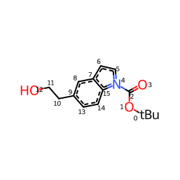 CC(C)(C)OC(=O)n1ccc2cc(CCO)ccc21